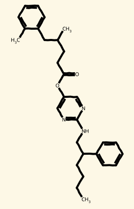 CCCCC(CNc1ncc(OC(=O)CCC(C)Cc2ccccc2C)cn1)c1ccccc1